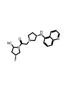 N#CC1C[C@H](F)CN1C(=O)CN1CC[C@@H](Nc2cccc3ncccc23)C1